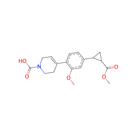 COC(=O)C1CC1c1ccc(C2=CCN(C(=O)O)CC2)c(OC)c1